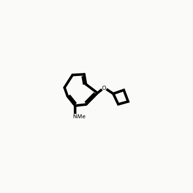 CNC1=C/CC/C=C/C(OC2CCC2)=C\1